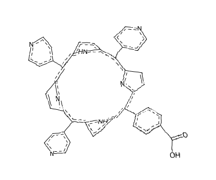 O=C(O)c1ccc(-c2c3nc(c(-c4ccncc4)c4ccc([nH]4)c(-c4ccncc4)c4nc(c(-c5ccncc5)c5ccc2[nH]5)C=C4)C=C3)cc1